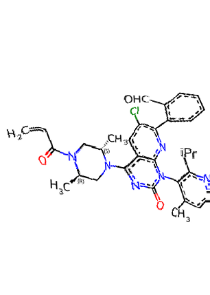 C=CC(=O)N1C[C@H](C)N(c2nc(=O)n(-c3c(C)ccnc3C(C)C)c3nc(-c4ccccc4C=O)c(Cl)cc23)C[C@H]1C